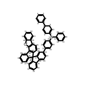 C1=CC(c2ccccc2)CC=C1N(c1ccccc1)c1ccc(-c2ccc3c(c2)C2(c4ccccc4-3)c3ccccc3-c3c2ccc2c3oc3ccccc32)cc1